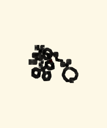 CC12CCC3(OCCOC(=O)C4CCCCCCCCC4)CCC1([C@H](CSC(c1ccccc1)(c1ccccc1)c1ccccc1)C(=O)O)NC2=CC3=O